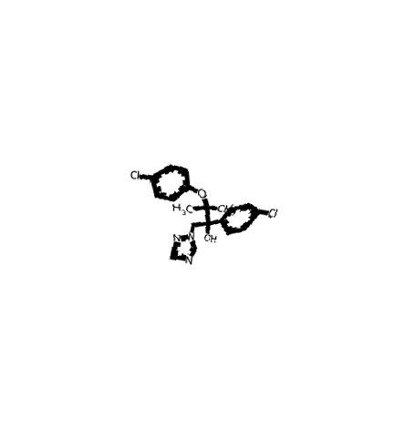 CC(C)(Oc1ccc(Cl)cc1)C(O)(Cn1cncn1)c1ccc(Cl)cc1